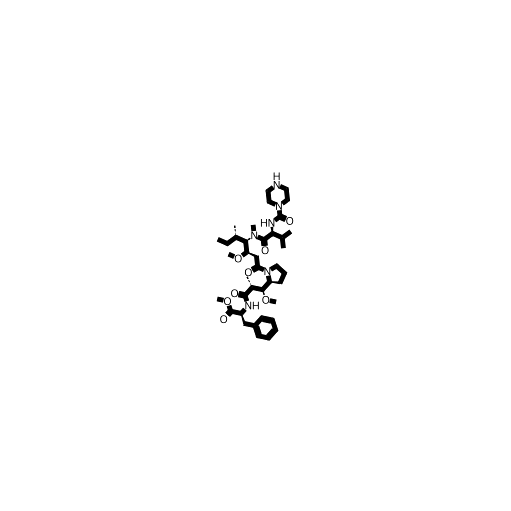 CC[C@H](C)[C@@H]([C@@H](CC(=O)N1CCC[C@H]1[C@H](OC)[C@@H](C)C(=O)N[C@@H](Cc1ccccc1)C(=O)OC)OC)N(C)C(=O)[C@@H](NC(=O)N1CCNCC1)C(C)C